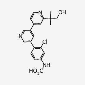 CC(C)(CO)c1cc(-c2cncc(-c3ccc(NC(=O)O)cc3Cl)c2)ccn1